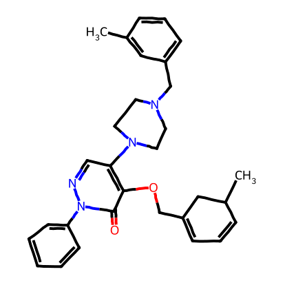 Cc1cccc(CN2CCN(c3cnn(-c4ccccc4)c(=O)c3OCC3=CC=CC(C)C3)CC2)c1